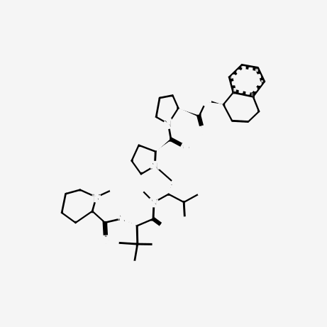 CC(C)[C@@H](CN1CCC[C@H]1C(=O)N1CCC[C@H]1C(=O)O[C@@H]1CCCc2ccccc21)N(C)C(=O)[C@@H](NC(=O)C1CCCCN1C)C(C)(C)C